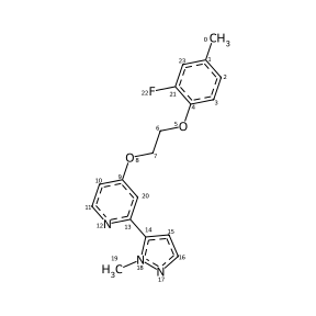 Cc1ccc(OCCOc2ccnc(-c3ccnn3C)c2)c(F)c1